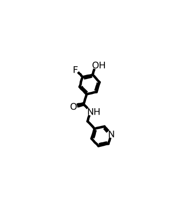 O=C(NCc1cccnc1)c1ccc(O)c(F)c1